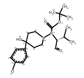 CC(C)[C@H](C=O)N(C(=O)OC(C)(C)C)N1CCC(O)(c2ccc(Cl)cc2)CC1